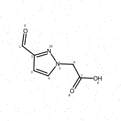 O=Cc1ccn(CC(=O)O)n1